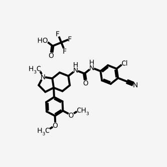 COc1ccc(C23CCC(NC(=O)Nc4ccc(C#N)c(Cl)c4)CC2N(C)CC3)cc1OC.O=C(O)C(F)(F)F